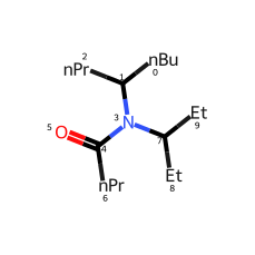 CCCCC(CCC)N(C(=O)CCC)C(CC)CC